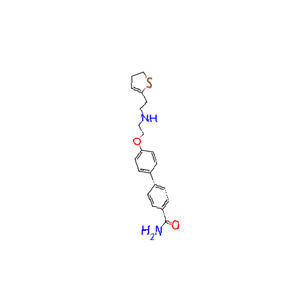 NC(=O)c1ccc(-c2ccc(OCCNCCC3=CCCS3)cc2)cc1